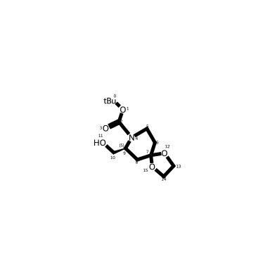 CC(C)(C)OC(=O)N1CCC2(C[C@H]1CO)OCCO2